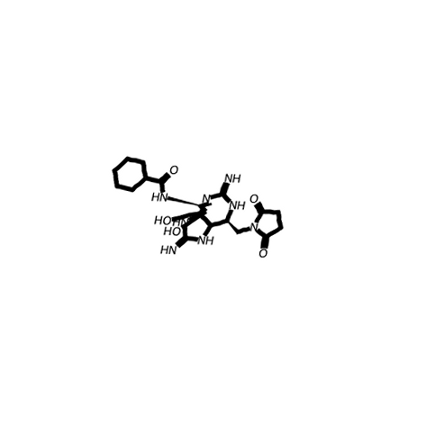 N=C1NC2[C@H](CN3C(=O)CCC3=O)NC(=N)N3C[C@H](NC(=O)C4CCCCC4)C(O)(O)C23N1